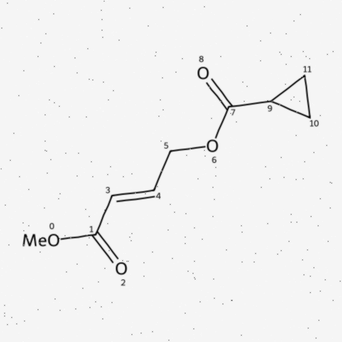 COC(=O)C=CCOC(=O)C1CC1